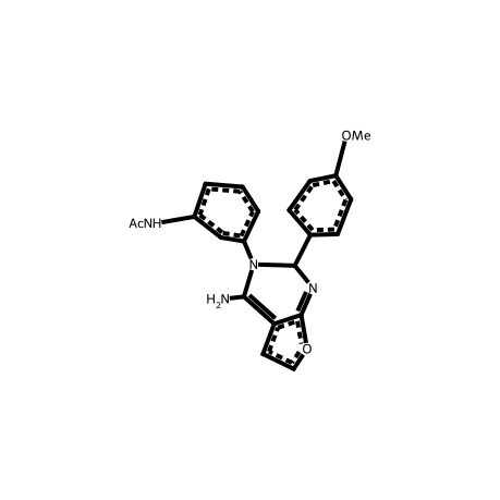 COc1ccc(C2N=c3occc3=C(N)N2c2cccc(NC(C)=O)c2)cc1